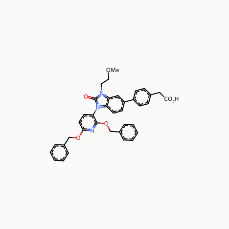 COCCn1c(=O)n(-c2ccc(OCc3ccccc3)nc2OCc2ccccc2)c2ccc(-c3ccc(CC(=O)O)cc3)cc21